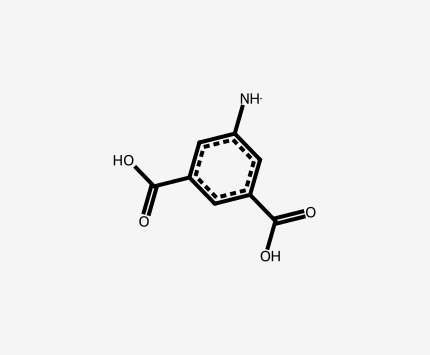 [NH]c1cc(C(=O)O)cc(C(=O)O)c1